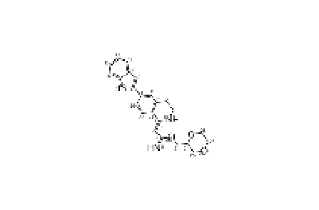 N=C(/C=C1\NCCc2cc(-c3cc4ccccc4[nH]3)ccc21)OCC1COCCO1